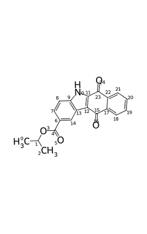 CC(C)OC(=O)c1ccc2[nH]c3c(c2c1)C(=O)c1ccccc1C3=O